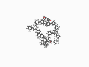 c1ccc(-c2cccc(-c3nc(-c4cccc(-c5cccc(-c6ccc7c(c6)C6(c8ccc(-c9cccc(-c%10nc(-c%11ccccc%11)nc(-c%11ccc%12c(ccc%13ccccc%13%12)c%11)n%10)c9)cc8O7)c7ccccc7-c7ccccc76)c5)c4)nc(-c4cccc(-c5ccc6c(c5)Oc5ccccc5C65c6ccccc6-c6ccccc65)c4)n3)c2)cc1